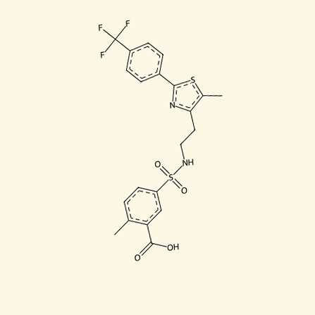 Cc1ccc(S(=O)(=O)NCCc2nc(-c3ccc(C(F)(F)F)cc3)sc2C)cc1C(=O)O